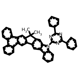 CC1(C)c2cc3c4ccccc4c4ccccc4c3cc2-c2cc3c4ccccc4n(-c4nc(-c5ccccc5)nc(-c5ccccc5)n4)c3cc21